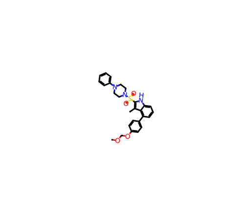 COCOc1ccc(-c2cccc3[nH]c(S(=O)(=O)N4CCN(c5ccccc5)CC4)c(C)c23)cc1